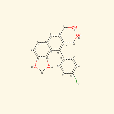 OCc1cc2ccc3c(c2c(-c2ccc(F)cc2)c1CO)OCO3